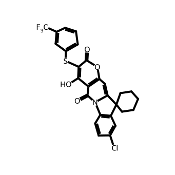 O=c1oc2cc3n(c(=O)c2c(O)c1Sc1cccc(C(F)(F)F)c1)-c1ccc(Cl)cc1C31CCCCC1